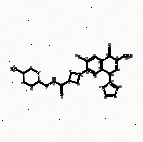 CC1CCC(CNC(=O)C2CN(c3nc4c(cc3F)c(=O)c(C(=O)O)cn4-c3nccs3)C2)OC1